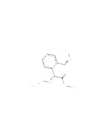 CO/N=C(/C(=O)OC)c1ccccc1/C=N\O